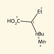 CCCCC(CC)C(=O)O.[Mn]